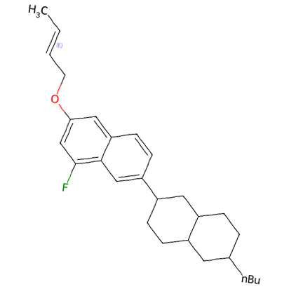 C/C=C/COc1cc(F)c2cc(C3CCC4CC(CCCC)CCC4C3)ccc2c1